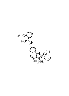 COc1ccccc1C(O)NCc1ccc(-c2nn(C3CCOCC3(C)C)c(N)c2C(N)=O)cc1